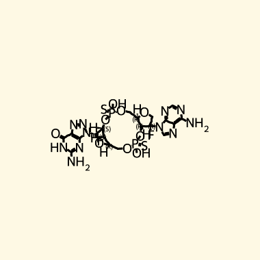 Nc1nc2c(nnn2[C@@H]2O[C@@H]3COP(O)(=S)O[C@@H]4[C@@H](COP(O)(=S)O[C@@H]2[C@H]3F)OC[C@]4(F)n2cnc3c(N)ncnc32)c(=O)[nH]1